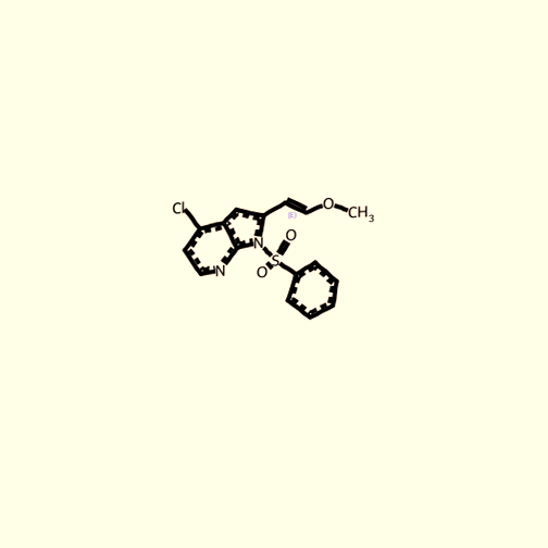 CO/C=C/c1cc2c(Cl)ccnc2n1S(=O)(=O)c1ccccc1